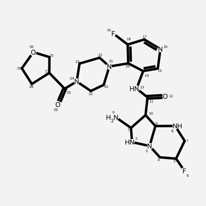 NC1NN2CC(F)CNC2C1C(=O)Nc1cncc(F)c1N1CCN(C(=O)C2CCOC2)CC1